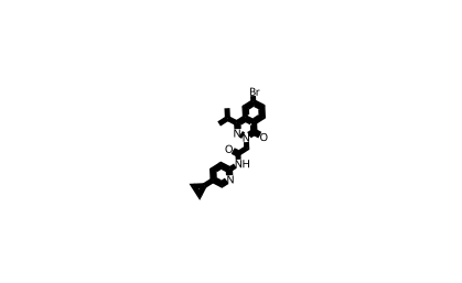 CC(C)c1nn(CC(=O)Nc2ccc(C3CC3)cn2)c(=O)c2ccc(Br)cc12